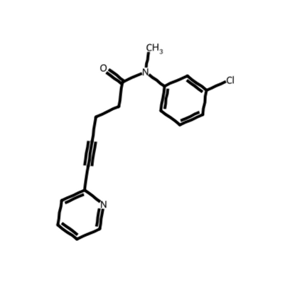 CN(C(=O)CCC#Cc1ccccn1)c1cccc(Cl)c1